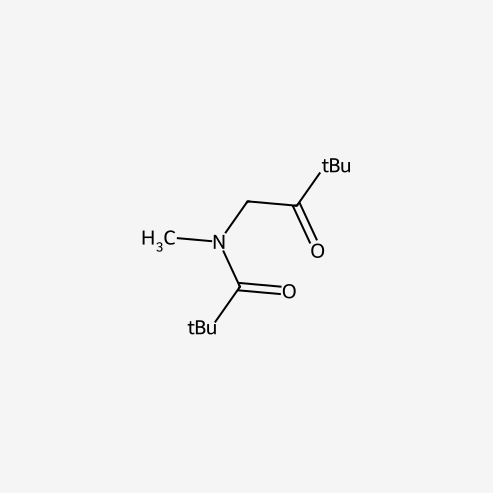 CN(CC(=O)C(C)(C)C)C(=O)C(C)(C)C